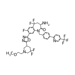 COCCN1CC(c2nnc(-c3cc4c(cc3F)C(F)(F)C[C@@H](N)C(=O)N4Cc3ccc(-c4ccc(C(F)(F)F)cn4)cc3)o2)CC(F)(F)C1